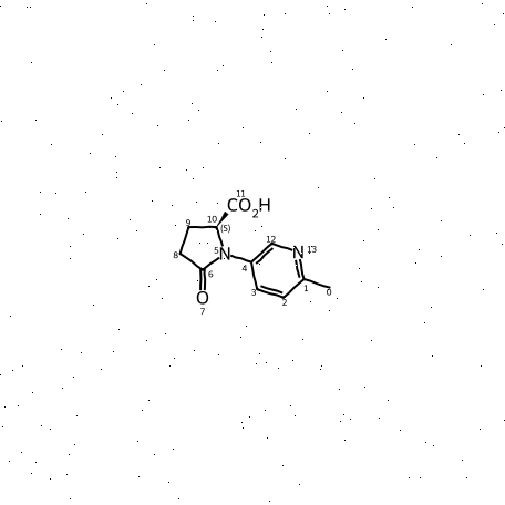 Cc1ccc(N2C(=O)CC[C@H]2C(=O)O)cn1